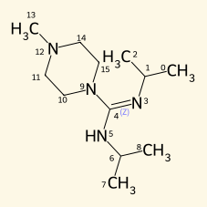 CC(C)/N=C(/NC(C)C)N1CCN(C)CC1